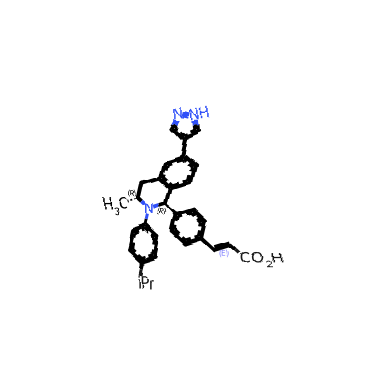 CC(C)c1ccc(N2[C@H](c3ccc(/C=C/C(=O)O)cc3)c3ccc(-c4cn[nH]c4)cc3C[C@H]2C)cc1